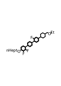 CCCCCCCOc1ccc(-c2ccc(-c3ccc(C4CCC(COCC)CC4)cc3F)cc2)c(F)c1F